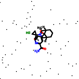 CO[C@]1(c2ccnc(C(N)=O)c2)[C@@H]2CCC[C@H]1CN(C1(C)CC1)C2.Cl